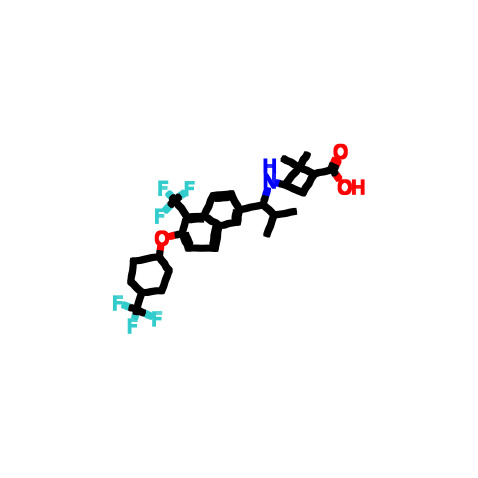 CC(C)C(NC1CC(C(=O)O)C1(C)C)c1ccc2c(C(F)(F)F)c(OC3CCC(C(F)(F)F)CC3)ccc2c1